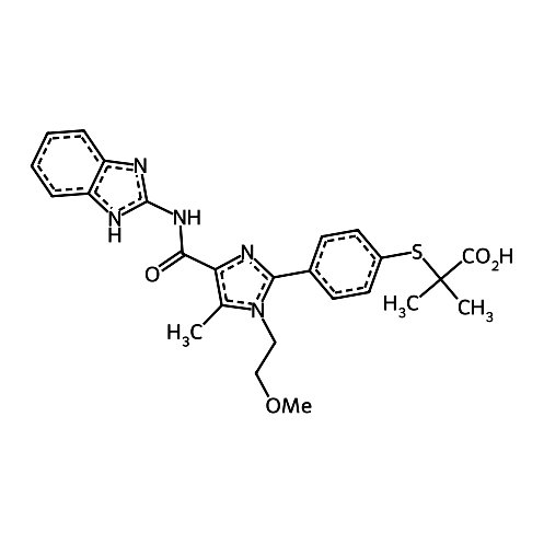 COCCn1c(-c2ccc(SC(C)(C)C(=O)O)cc2)nc(C(=O)Nc2nc3ccccc3[nH]2)c1C